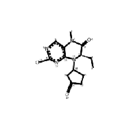 CC[C@@H]1C(=O)N(C)c2cnc(Cl)nc2N1C1CCC(=O)C1